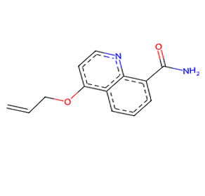 C=CCOc1ccnc2c(C(N)=O)cccc12